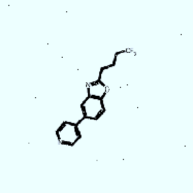 FC(F)(F)CCCc1nc2cc(-c3ccncc3)ccc2o1